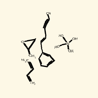 C=CC=C.CC1CO1.N#CC=CC=Cc1ccccc1.O[Si](O)(O)O